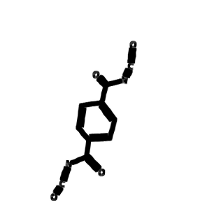 O=C=NC(=O)c1ccc(C(=O)N=C=O)cc1